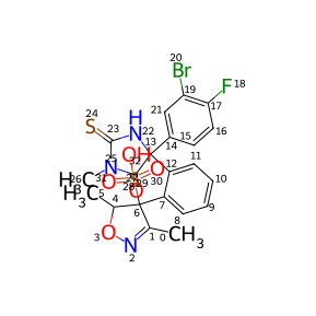 CC1=NOC(C)C1(c1ccccc1C1(c2ccc(F)c(Br)c2)NC(=S)N(C)C1=O)S(=O)(=O)O